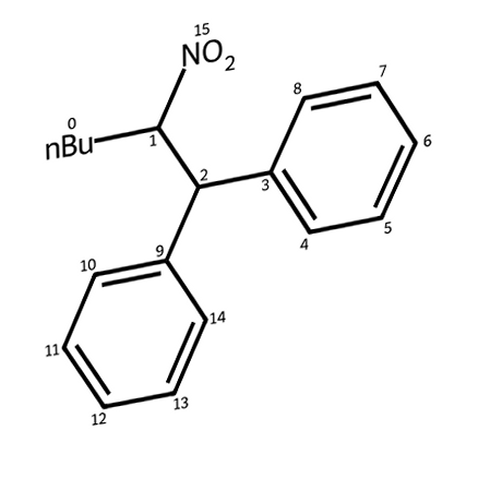 CCCCC(C(c1ccccc1)c1ccccc1)[N+](=O)[O-]